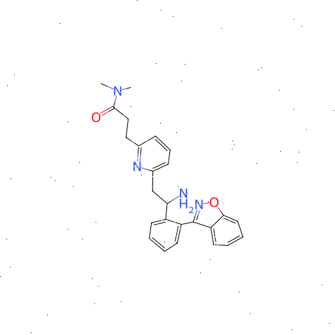 CN(C)C(=O)CCc1cccc(CC(N)c2ccccc2-c2noc3ccccc23)n1